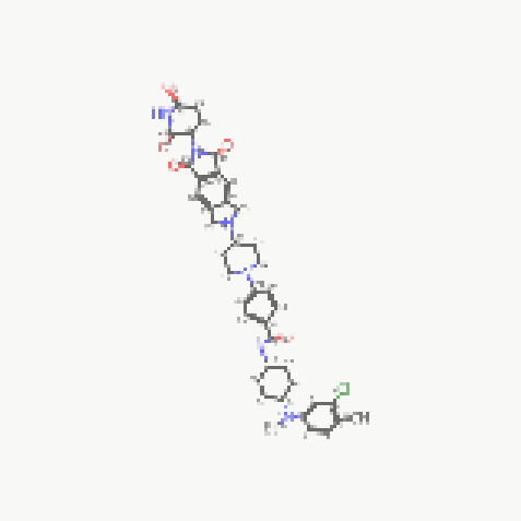 CCN(c1ccc(C#N)c(Cl)c1)[C@H]1CC[C@H](NC(=O)c2ccc(N3CCC(N4Cc5cc6c(cc5C4)C(=O)N(C4CCC(=O)NC4=O)C6=O)CC3)cc2)CC1